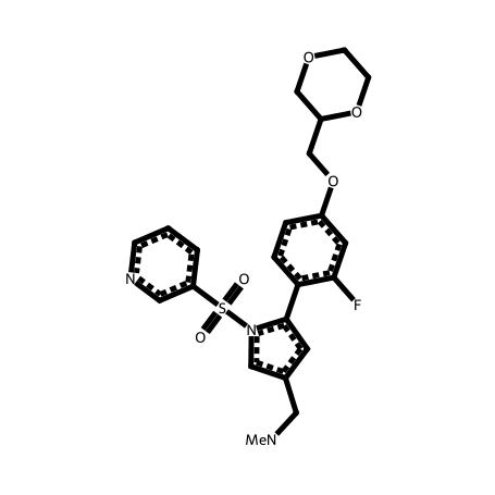 CNCc1cc(-c2ccc(OCC3COCCO3)cc2F)n(S(=O)(=O)c2cccnc2)c1